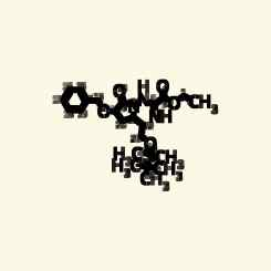 CCOC(=O)C(=N)NN1C(=O)C(OCc2ccccc2)CC1CCO[Si](C)(C)C(C)(C)C